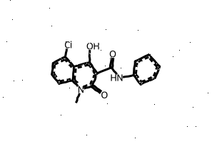 Cn1c(=O)c(C(=O)Nc2ccccc2)c(O)c2c(Cl)cccc21